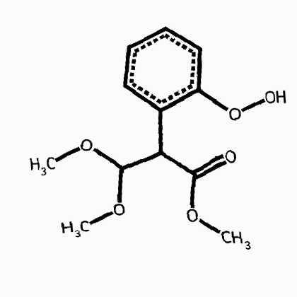 COC(=O)C(c1ccccc1OO)C(OC)OC